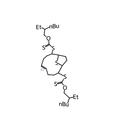 CCCCC(CC)COC(=S)SC1CC/C=C/CCC(SC(=S)OCC(CC)CCCC)C2CCC1S2